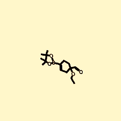 CCOC1(C=O)CC=C(B2OC(C)(C)C(C)(C)O2)CC1